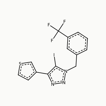 FC(F)(F)c1cccc(Cn2nnc(-c3ccsc3)c2I)c1